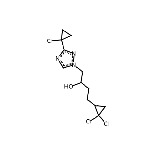 OC(CCC1CC1(Cl)Cl)Cn1cnc(C2(Cl)CC2)n1